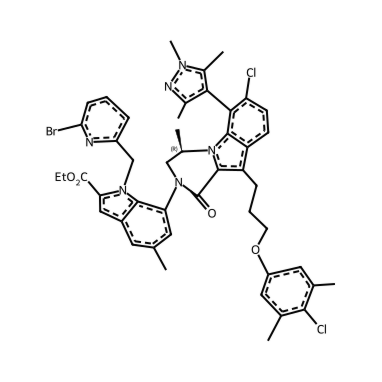 CCOC(=O)c1cc2cc(C)cc(N3C[C@@H](C)n4c(c(CCCOc5cc(C)c(Cl)c(C)c5)c5ccc(Cl)c(-c6c(C)nn(C)c6C)c54)C3=O)c2n1Cc1cccc(Br)n1